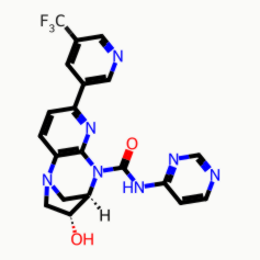 O=C(Nc1ccncn1)N1c2nc(-c3cncc(C(F)(F)F)c3)ccc2N2C[C@@H](O)[C@H]1C2